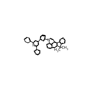 CC1(C)c2ccccc2-c2c1cc1cccc3c1c2C=CN3c1c#ccc(-c2cc(C3=CC=CCC3)nc(-c3ccccc3)c2)c1